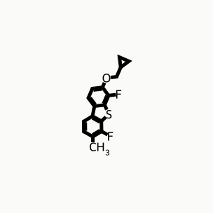 Cc1ccc2c(sc3c(F)c(OCC4CC4)ccc32)c1F